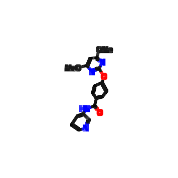 COc1cc(OC)nc(Oc2ccc(C(=O)Nc3cccnc3)cc2)n1